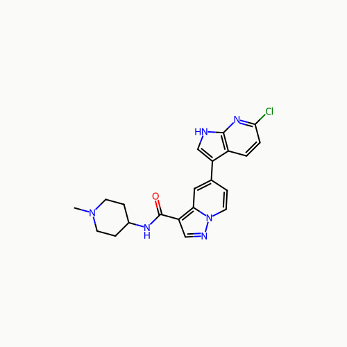 CN1CCC(NC(=O)c2cnn3ccc(-c4c[nH]c5nc(Cl)ccc45)cc23)CC1